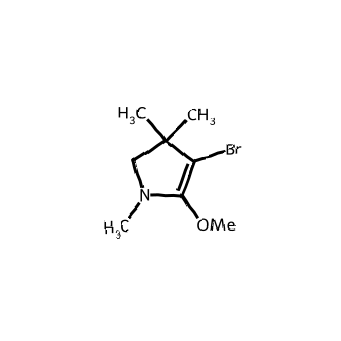 COC1=C(Br)C(C)(C)CN1C